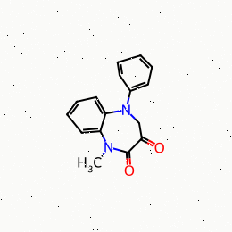 CN1C(=O)C(=O)CN(c2ccccc2)c2ccccc21